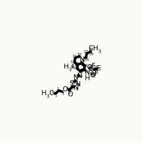 CCCCOC(=O)c1nnc(N=NC2=C(NS(=O)(=O)C(F)(F)F)C=C3N(CCCC)CCC[C@@]3(C)C2)s1